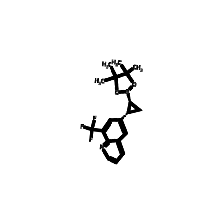 CC1(C)OB([C@H]2C[C@@H]2c2cc(C(F)(F)F)c3ncccc3c2)OC1(C)C